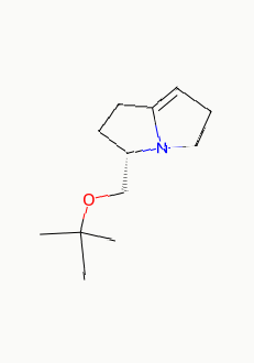 CC(C)(C)OC[C@@H]1CCC2=CCCN21